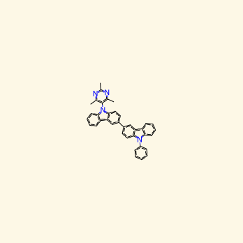 Cc1nc(C)c(-n2c3ccccc3c3cc(-c4ccc5c(c4)c4ccccc4n5-c4ccccc4)ccc32)c(C)n1